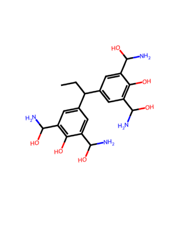 CCC(c1cc(C(N)O)c(O)c(C(N)O)c1)c1cc(C(N)O)c(O)c(C(N)O)c1